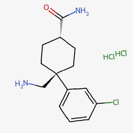 Cl.Cl.NC[C@]1(c2cccc(Cl)c2)CC[C@@H](C(N)=O)CC1